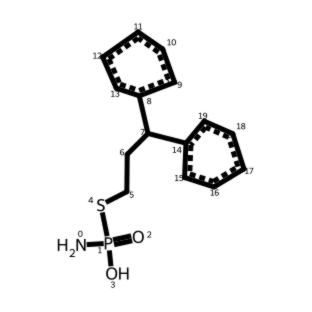 NP(=O)(O)SCCC(c1ccccc1)c1ccccc1